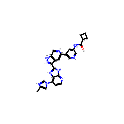 Cc1cn(-c2ccnc3[nH]c(-c4n[nH]c5cnc(-c6cncc(NC(=O)C7CCC7)c6)cc45)nc23)cn1